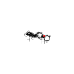 CC1CCCC(C)CCCC(C)(BC2(C)CCCCCC(C)(C3CN(C(=O)N4CCC5OCC(=O)NC5C4)C3)CCCCC2)CCC1